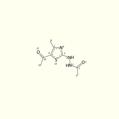 CC(=O)NNc1nc(C)c(C(C)=O)s1